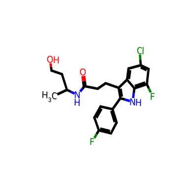 CC(CCO)NC(=O)CCc1c(-c2ccc(F)cc2)[nH]c2c(F)cc(Cl)cc12